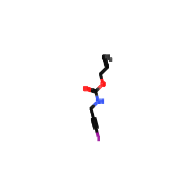 C=CCOC(=O)NCC#CI